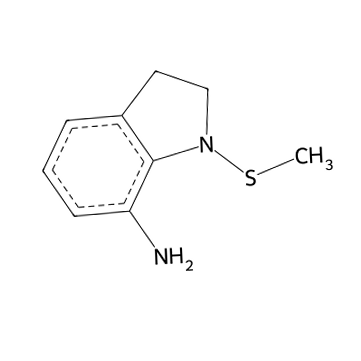 CSN1CCc2cccc(N)c21